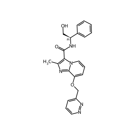 Cc1nc2c(OCc3cccnn3)cccn2c1C(=O)N[C@@H](CO)c1ccccc1